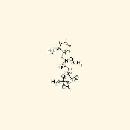 CON(Cc1ccccc1C)C(=O)/C=C1\OC(C)(C)OC1=O